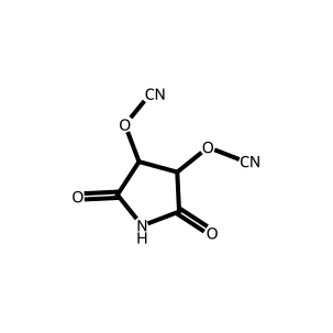 N#COC1C(=O)NC(=O)C1OC#N